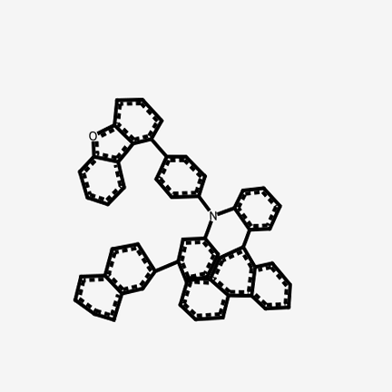 c1cc(-c2ccc3ccccc3c2)cc(N(c2ccc(-c3cccc4oc5ccccc5c34)cc2)c2ccccc2-c2cc3ccccc3c3ccccc23)c1